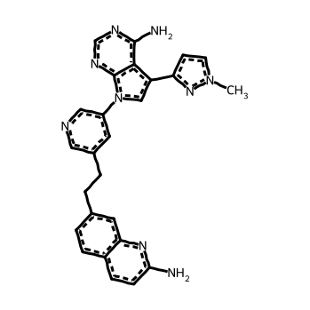 Cn1ccc(-c2cn(-c3cncc(CCc4ccc5ccc(N)nc5c4)c3)c3ncnc(N)c23)n1